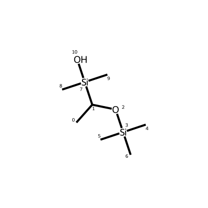 CC(O[Si](C)(C)C)[Si](C)(C)O